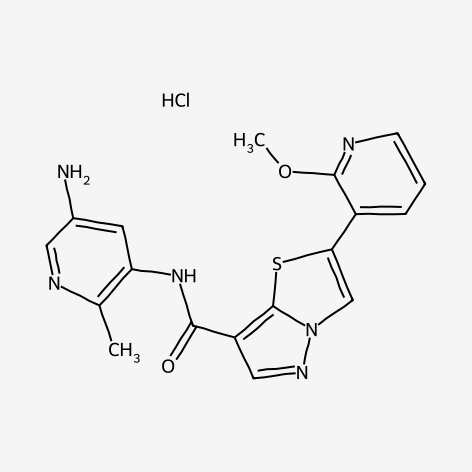 COc1ncccc1-c1cn2ncc(C(=O)Nc3cc(N)cnc3C)c2s1.Cl